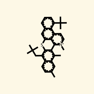 Cc1ccc2c(CC(C)(C)C)c3c(c(C)c2c1)-c1c2c(cc4cccc(C(C)(C)C)c4c2cc[n+]1C)S3